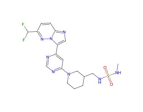 CNS(=O)(=O)NCC1CCCN(c2cc(-c3cnc4ccc(C(F)F)nn34)ncn2)C1